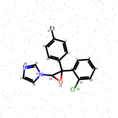 CCc1ccc(C2(c3ccccc3Cl)OC2n2ccnc2)cc1